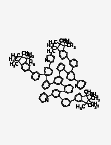 CC1(C)c2ccc(-c3cccc(-c4cc(-c5ccccn5)ccc4-c4ccccc4-c4cc(-c5ccccc5-c5ccc(-c6ccccn6)cc5-c5cccc(-c6ccc7c(c6)C(C)(C)C(C)(C)C7(C)C)c5)cc(-c5ccccc5-c5ccc(-c6ccccn6)cc5-c5cccc(-c6ccc7c(c6)C(C)(C)C(C)(C)C7(C)C)c5)c4)c3)cc2C(C)(C)C1(C)C